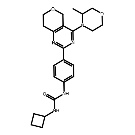 CC1COCCN1c1nc(-c2ccc(NC(=O)NC3CCC3)cc2)nc2c1COCC2